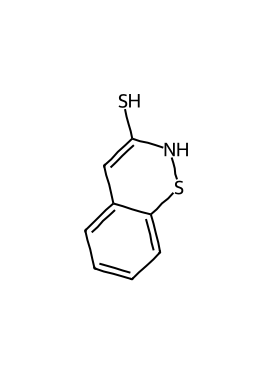 SC1=Cc2ccccc2SN1